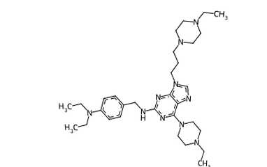 CCN1CCN(CCCn2cnc3c(N4CCN(CC)CC4)nc(NCc4ccc(N(CC)CC)cc4)nc32)CC1